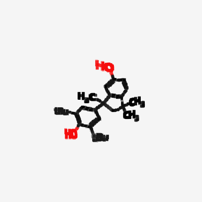 CC(C)(C)c1cc(C2(C)CC(C)(C)c3ccc(O)cc32)cc(C(C)(C)C)c1O